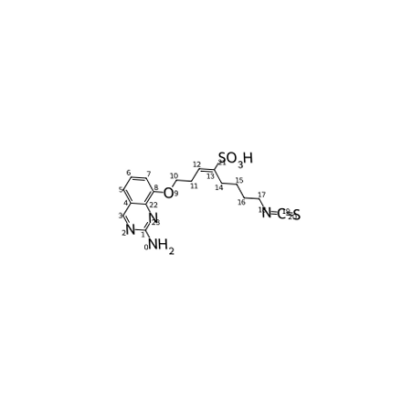 Nc1ncc2cccc(OCCC=C(CCCCN=C=S)S(=O)(=O)O)c2n1